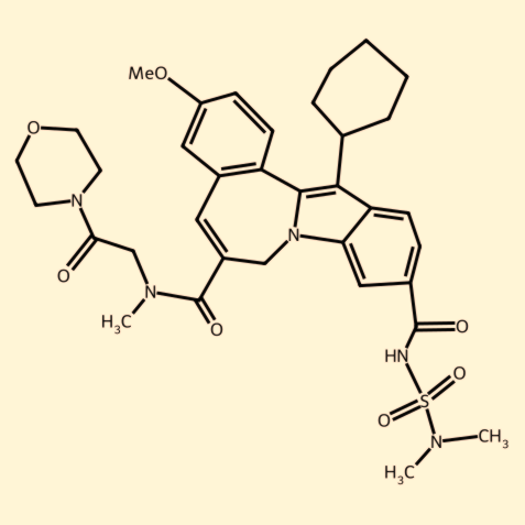 COc1ccc2c(c1)C=C(C(=O)N(C)CC(=O)N1CCOCC1)Cn1c-2c(C2CCCCC2)c2ccc(C(=O)NS(=O)(=O)N(C)C)cc21